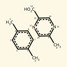 Cc1ccc(C)cc1.Cc1cnc(C(=O)O)cn1